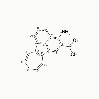 Nc1c(C(=O)O)cc2c3c(cccc13)C1=C2C=CCC=C1